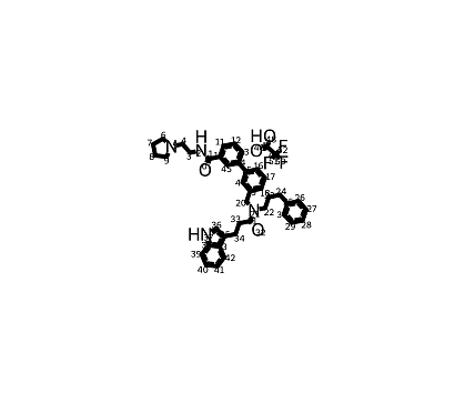 O=C(NCCN1CCCC1)c1cccc(-c2cccc(CN(CCCc3ccccc3)C(=O)CCc3c[nH]c4ccccc34)c2)c1.O=C(O)C(F)(F)F